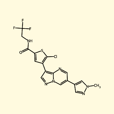 Cn1cc(-c2cnc3c(-c4cc(C(=O)NCC(F)(F)F)sc4Cl)cnn3c2)cn1